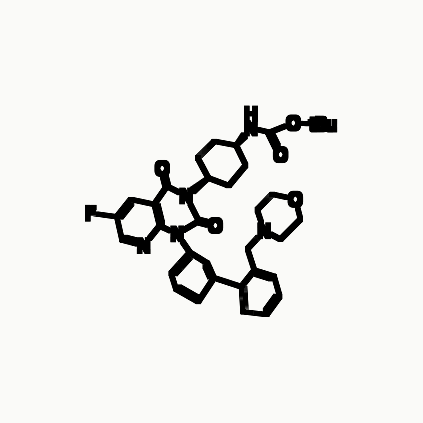 CC(C)(C)OC(=O)N[C@H]1CC[C@@H](n2c(=O)c3cc(F)cnc3n(-c3cccc(-c4ccccc4CN4CCOCC4)c3)c2=O)CC1